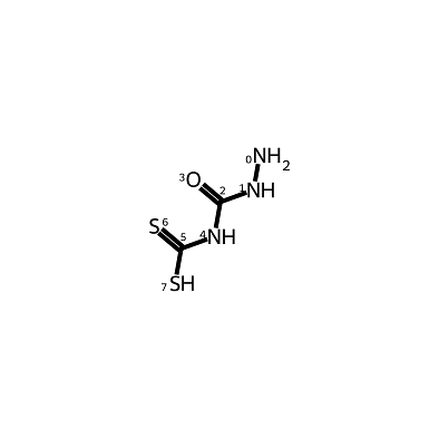 NNC(=O)NC(=S)S